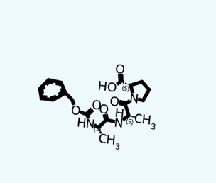 C[C@H](NC(=O)OCc1ccccc1)C(=O)N[C@@H](C)C(=O)N1CCC[C@H]1C(=O)O